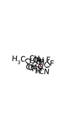 Cc1cc(C)c(C2=C(O)[C@@H]3[C@@H]4O[C@@H](C(C#N)[C@H]4c4ccc(F)c(F)c4)[C@@H]3C2=O)c(C)c1